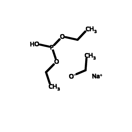 CCOP(O)OCC.CC[O-].[Na+]